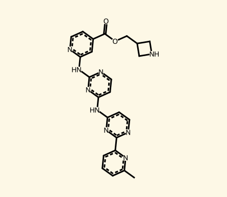 Cc1cccc(-c2nccc(Nc3ccnc(Nc4cc(C(=O)OCC5CNC5)ccn4)n3)n2)n1